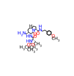 CC[C@H](NC(=O)OC(C)(C)C)C(=O)N[C@@H]1C(=O)N2[C@@H](CC[C@@H]1CN)CC[C@H]2C(=O)NCCc1ccc(OC)cc1